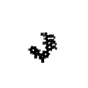 C=C/C(=C\C(=C/C)c1ccc2[nH]nc(-c3cc4ncccc4[nH]3)c2c1)NC(=C)CC(C)C